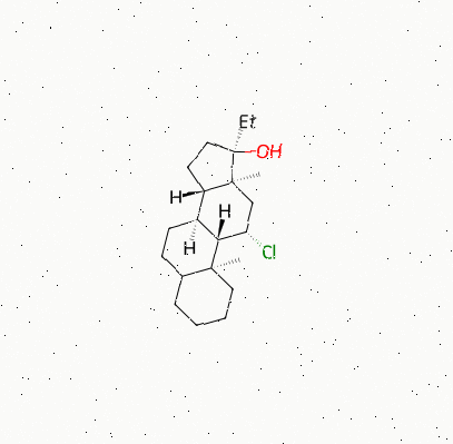 CC[C@@]1(O)CC[C@H]2[C@@H]3CCC4CCCC[C@]4(C)[C@H]3[C@@H](Cl)C[C@@]21C